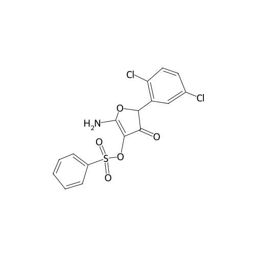 NC1=C(OS(=O)(=O)c2ccccc2)C(=O)C(c2cc(Cl)ccc2Cl)O1